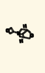 [CH]1[C@@H]2COC[C@H]1CN(C1COC1)C2